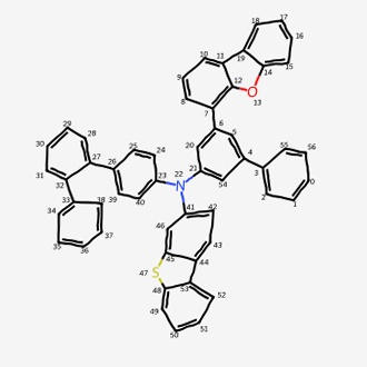 c1ccc(-c2cc(-c3cccc4c3oc3ccccc34)cc(N(c3ccc(-c4ccccc4-c4ccccc4)cc3)c3ccc4c(c3)sc3ccccc34)c2)cc1